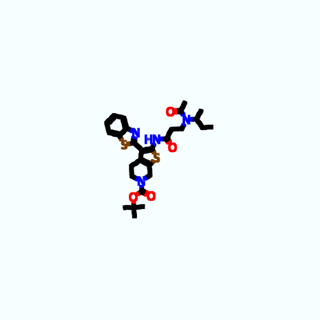 CCC(C)N(CCC(=O)Nc1sc2c(c1-c1nc3ccccc3s1)CCN(C(=O)OC(C)(C)C)C2)C(C)=O